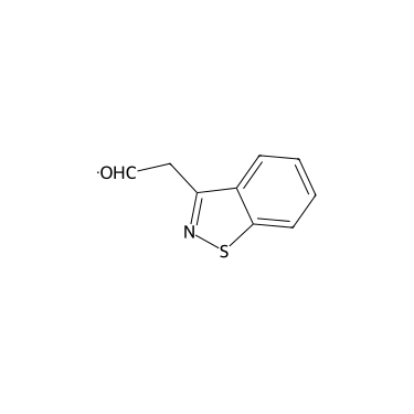 O=[C]Cc1nsc2ccccc12